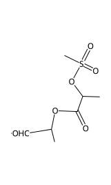 CC([C]=O)OC(=O)C(C)OS(C)(=O)=O